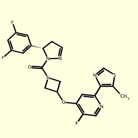 Cc1scnc1-c1cc(OC2CN(C(=O)N3N=CC[C@H]3c3cc(F)cc(F)c3)C2)c(F)cn1